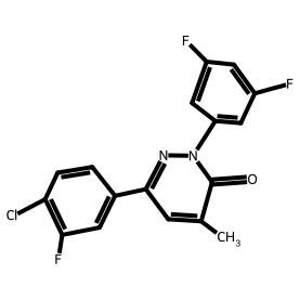 Cc1cc(-c2ccc(Cl)c(F)c2)nn(-c2cc(F)cc(F)c2)c1=O